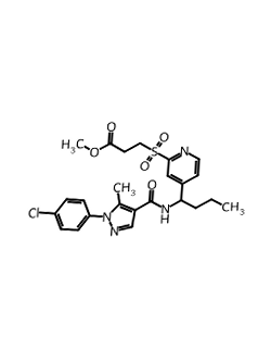 CCCC(NC(=O)c1cnn(-c2ccc(Cl)cc2)c1C)c1ccnc(S(=O)(=O)CCC(=O)OC)c1